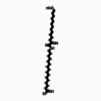 CCCCCCCCCCCCCCCCCCCCCC[C@@H](O)C(=O)NCCCCCCCCCCCCCCCC(O)CC